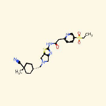 CCS(=O)(=O)c1ccc(CC(=O)Nc2nc3c(s2)CN(C[C@H]2CC[C@@](C)(C#N)CC2)C3)nc1